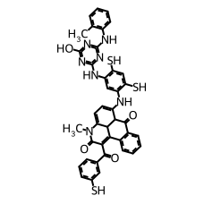 Cc1ccccc1Nc1nc(O)nc(Nc2cc(NC3=CC=C4C5C(=C(C(=O)c6cccc(S)c6)C(=O)N4C)c4ccccc4C(=O)C35)c(S)cc2S)n1